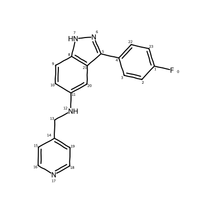 Fc1ccc(-c2n[nH]c3ccc(NCc4ccncc4)cc23)cc1